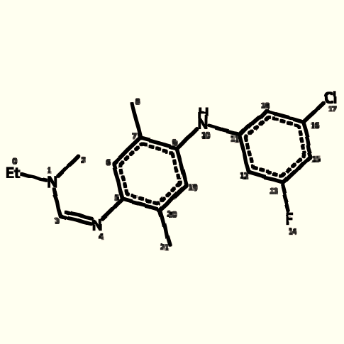 CCN(C)/C=N\c1cc(C)c(Nc2cc(F)cc(Cl)c2)cc1C